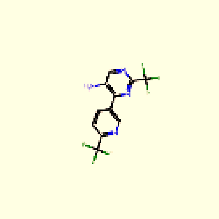 Nc1cnc(C(F)(F)F)nc1-c1ccc(C(F)(F)F)nc1